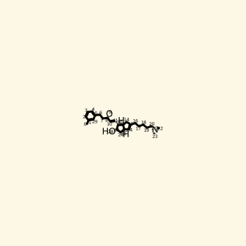 Cc1cccc(CCC(=O)/C=C/[C@@H]2[C@H]3CC(CCCCCN(C)C)=C[C@H]3C[C@H]2O)c1